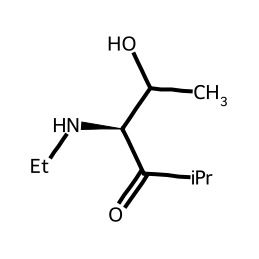 CCN[C@H](C(=O)C(C)C)C(C)O